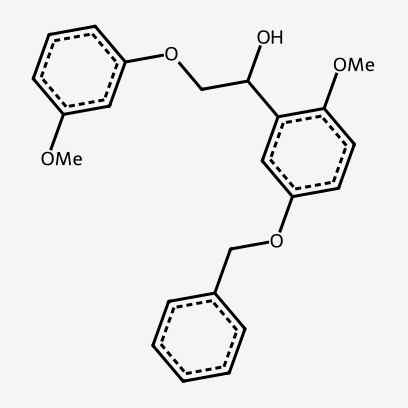 COc1cccc(OCC(O)c2cc(OCc3ccccc3)ccc2OC)c1